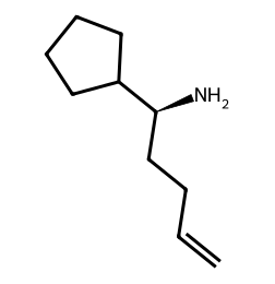 C=CCC[C@H](N)C1CCCC1